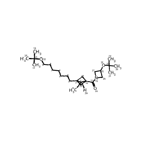 C[C@@H]1C2(CCCCCCCOC(C)(C)C)CC1(C(=O)N1CC(OC(C)(C)C)C1)C2